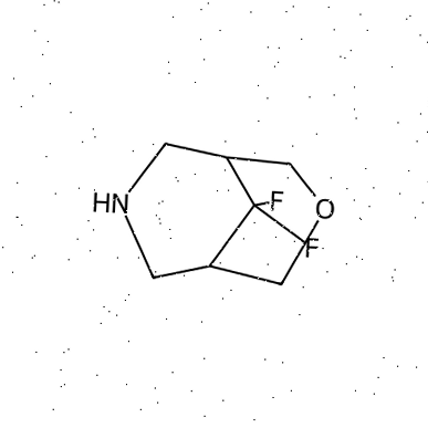 FC1(F)C2CNCC1COC2